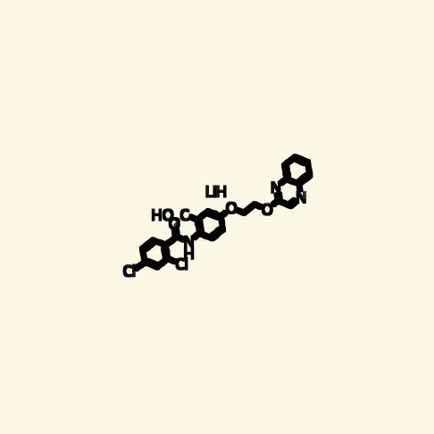 O=C(Nc1ccc(OCCOc2cnc3ccccc3n2)cc1C(=O)O)c1ccc(Cl)cc1Cl.[LiH]